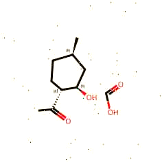 CC(=O)[C@@H]1CC[C@@H](C)C[C@H]1O.O=CO